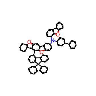 c1ccc(-c2ccc(N(c3ccc4oc5c(-c6cccc7c6-c6ccccc6C7(c6ccccc6)c6ccccc6)c6c(cc5c4c3)oc3ccccc36)c3cccc4c3oc3ccccc34)cc2)cc1